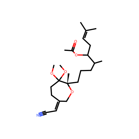 COC1(OC)CCC(=CC#N)CO[C@@]1(C)CCCC(C)C(CC=C(C)C)OC(C)=O